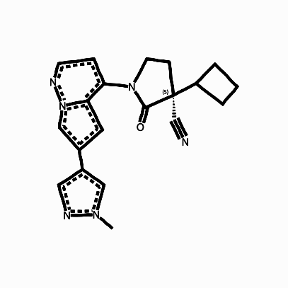 Cn1cc(-c2cc3c(N4CC[C@@](C#N)(C5CCC5)C4=O)ccnn3c2)cn1